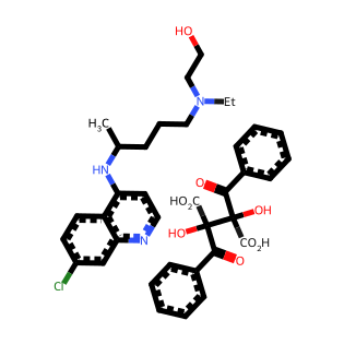 CCN(CCO)CCCC(C)Nc1ccnc2cc(Cl)ccc12.O=C(O)C(O)(C(=O)c1ccccc1)C(O)(C(=O)O)C(=O)c1ccccc1